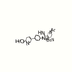 CNC1=C(C(=N)Nc2ccc(C3=CCC(O)N=C3)cc2)CN(C(C)=O)CC1